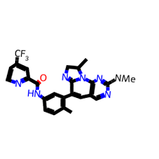 CNc1ncc2c(n1)N1C(=NCC1C)C(c1cc(NC(=O)c3cc(C(F)(F)F)ccn3)ccc1C)=C2